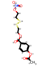 CC(=O)Oc1ccc(C(=O)OCCSSCCO[N+](=O)[O-])cc1